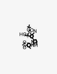 Cc1cc(S(C)(=O)=O)ccc1Nc1nccc(-c2cc(C#N)c3c(c2)[C@@](C)(CO)CN3C(=O)OC(C)(C)C)n1